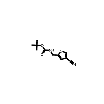 CC(C)(C)OC(=O)NCc1cc(C#N)cs1